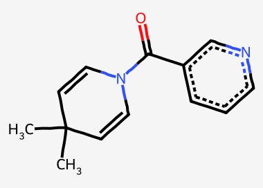 CC1(C)C=CN(C(=O)c2cccnc2)C=C1